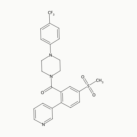 CS(=O)(=O)c1ccc(-c2cccnc2)c(C(=O)N2CCN(c3ccc(C(F)(F)F)cc3)CC2)c1